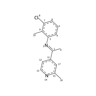 C/C(=N\c1cccc(Cl)c1C)c1ccnc(C)c1